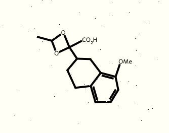 COc1cccc2c1CC(C1(C(=O)O)OC(C)O1)CC2